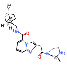 C[C@H]1CN(C(=O)Cc2cn3c(C(=O)NC[C@@H]4CC[C@@H]5C[C@H]4C5(C)C)cccc3n2)CCN1